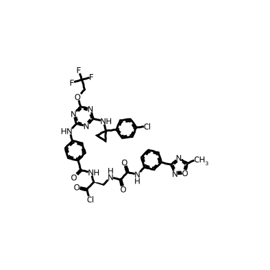 Cc1nc(-c2cccc(NC(=O)C(=O)NC[C@H](NC(=O)c3ccc(Nc4nc(NC5(c6ccc(Cl)cc6)CC5)nc(OCC(F)(F)F)n4)cc3)C(=O)Cl)c2)no1